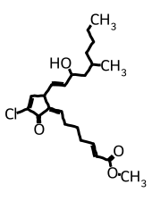 CCCCC(C)CC(O)C=CC1C=C(Cl)C(=O)C1=CCCCC=CC(=O)OC